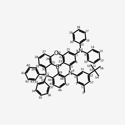 Cc1cc(N2c3cc(N(c4ccccc4)c4ccccc4)cc4c3B3c5c(cccc5[Si](c5ccccc5)(c5ccccc5)c5cccc2c53)O4)cc(C(C)(C)C)c1